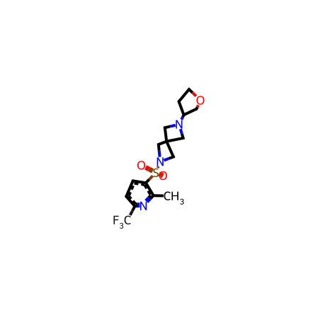 Cc1nc(C(F)(F)F)ccc1S(=O)(=O)N1CC2(CN(C3CCOC3)C2)C1